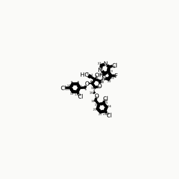 C#C[C@@]1(O)[C@H](OCc2ccc(Cl)cc2Cl)[C@@H](COCc2ccc(Cl)cc2Cl)O[C@H]1n1cc(F)c2c(Cl)ncnc21